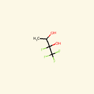 CC(O)C(O)(F)C(F)(F)F